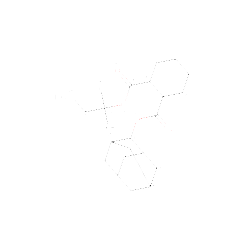 O=C(OC1C2CC3CC(C2)CC1C3)C1CCCCC1C(=O)OC(CS(=O)(=O)O)(C(F)(F)F)C(F)(F)F